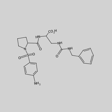 Nc1ccc(S(=O)(=O)N2CCCC2C(=O)NC(CNC(=O)NCc2ccccc2)C(=O)O)cc1